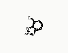 Clc1cccc2n[se]nc12